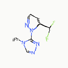 CC(C)n1cnnc1-n1nc[c]c1C(F)F